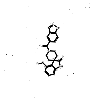 O=C(c1ccc2[nH]ncc2c1)N1CCC2(CC1)C(=O)Nc1cccc(CO)c12